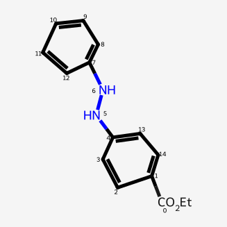 CCOC(=O)c1ccc(NNc2ccccc2)cc1